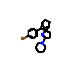 Brc1ccc(C2C3CCC(C3)C23CCC(N2CCCCC2)=N3)cc1